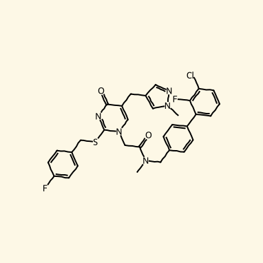 CN(Cc1ccc(-c2cccc(Cl)c2F)cc1)C(=O)Cn1cc(Cc2cnn(C)c2)c(=O)nc1SCc1ccc(F)cc1